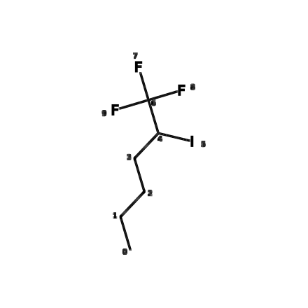 CCCCC(I)C(F)(F)F